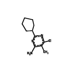 Cc1c(N)nc(C2CCCCC2)nc1Cl